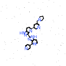 c1cc(-c2nccc3[nH]c(-c4n[nH]c5ccc(-c6cncc(CN7CCCC7)c6)nc45)nc23)ccn1